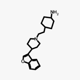 NC1CCC(CCN2CCC(c3coc4ccccc34)CC2)CC1